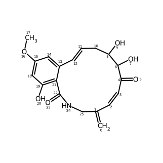 C=C1/C=C\C(=O)C(O)C(O)C/C=C/c2cc(OC)cc(O)c2C(=O)NC1